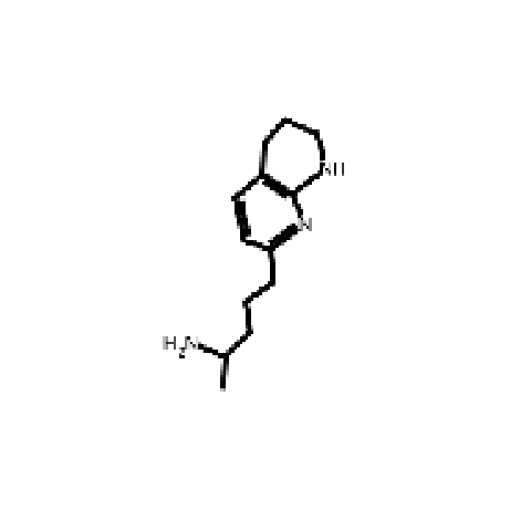 CC(N)CCCc1ccc2c(n1)NCCC2